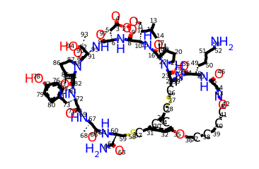 COOC(=O)C[C@@H]1NC(=O)[C@H](CC(C)C)NC(=O)[C@@H]2CCCN2C(=O)[C@@H]2CSCc3cc(cc(c3)OCCCCCCO/N=C/C(=O)N[C@@H](CCCCN)C(=O)N2)CSC[C@@H](C(N)=O)NC(=O)[C@H](C)NC(=O)[C@H](Cc2ccc(O)cc2)NC(=O)[C@@H]2CCCN2C(=O)[C@H]([C@@H](C)O)NC1=O